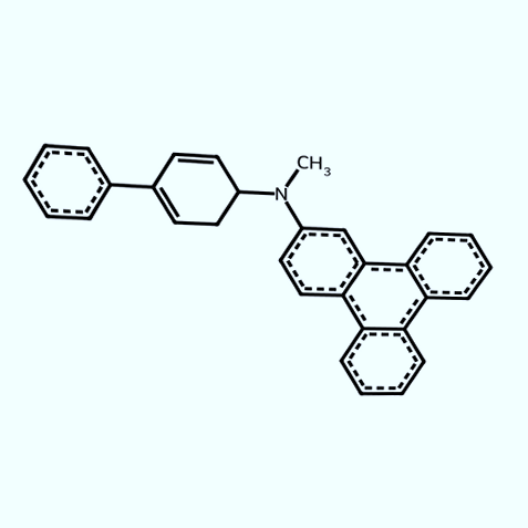 CN(c1ccc2c3ccccc3c3ccccc3c2c1)C1C=CC(c2ccccc2)=CC1